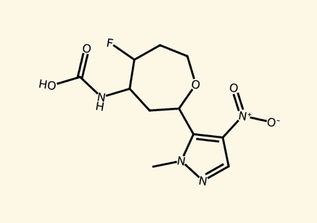 Cn1ncc([N+](=O)[O-])c1C1CC(NC(=O)O)C(F)CCO1